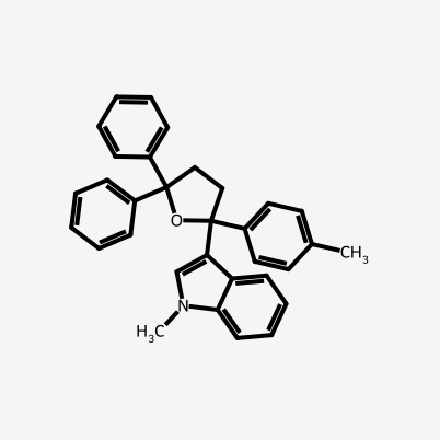 Cc1ccc(C2(c3cn(C)c4ccccc34)CCC(c3ccccc3)(c3ccccc3)O2)cc1